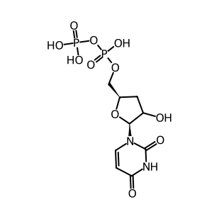 O=c1ccn([C@H]2O[C@@H](COP(=O)(O)OP(=O)(O)O)CC2O)c(=O)[nH]1